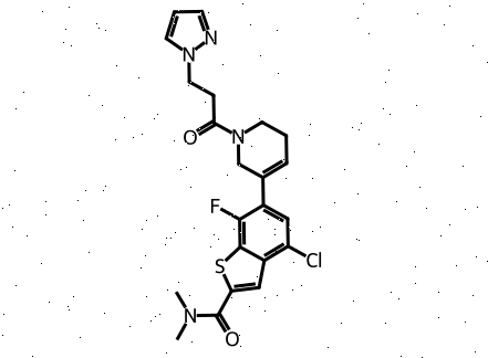 CN(C)C(=O)c1cc2c(Cl)cc(C3=CCCN(C(=O)CCn4cccn4)C3)c(F)c2s1